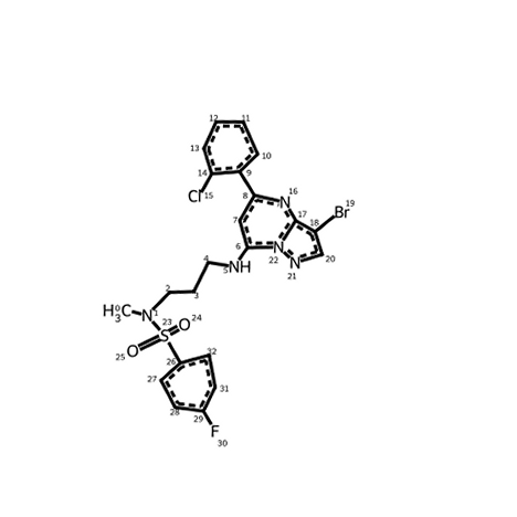 CN(CCCNc1cc(-c2ccccc2Cl)nc2c(Br)cnn12)S(=O)(=O)c1ccc(F)cc1